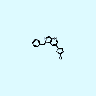 Clc1ccc(-c2cnc3cnn(Cc4cccnc4)c3c2)s1